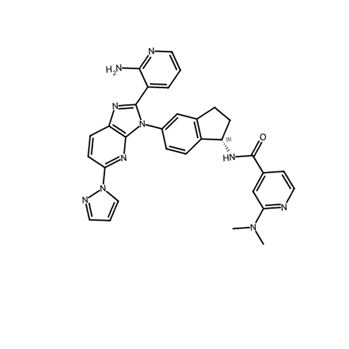 CN(C)c1cc(C(=O)N[C@H]2CCc3cc(-n4c(-c5cccnc5N)nc5ccc(-n6cccn6)nc54)ccc32)ccn1